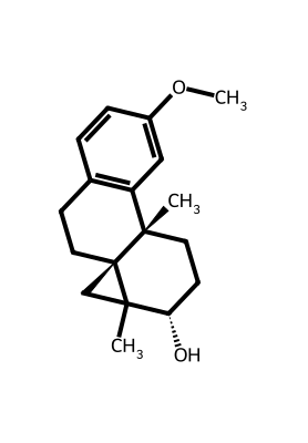 COc1ccc2c(c1)[C@]1(C)CC[C@H](O)C3(C)C[C@]31CC2